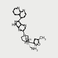 Cc1cc([C@@]2(CN)[C@@H]3CCN(c4cnc5c(-c6ccnc7ncccc67)n[nH]c5n4)C[C@@H]32)no1